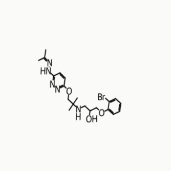 CC(C)=NNc1ccc(OCC(C)(C)NCC(O)COc2ccccc2Br)nn1